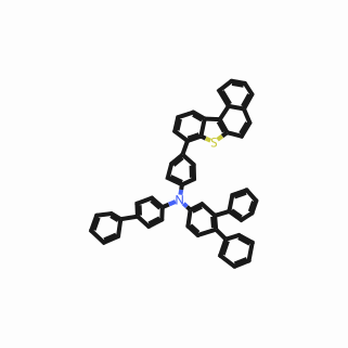 c1ccc(-c2ccc(N(c3ccc(-c4cccc5c4sc4ccc6ccccc6c45)cc3)c3ccc(-c4ccccc4)c(-c4ccccc4)c3)cc2)cc1